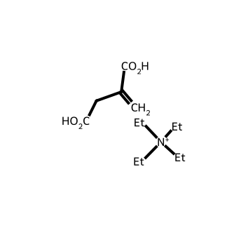 C=C(CC(=O)O)C(=O)O.CC[N+](CC)(CC)CC